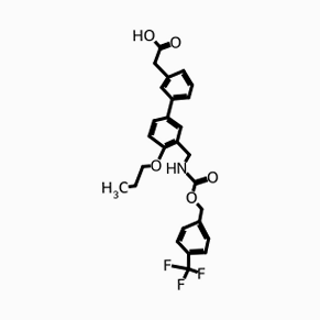 CCCOc1ccc(-c2cccc(CC(=O)O)c2)cc1CNC(=O)OCc1ccc(C(F)(F)F)cc1